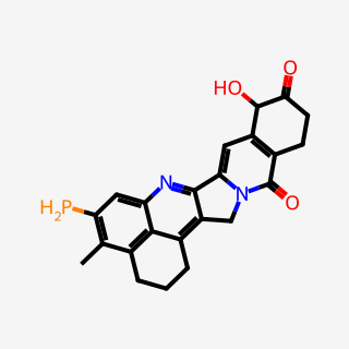 Cc1c(P)cc2nc3c(c4c2c1CCC4)Cn1c-3cc2c(c1=O)CCC(=O)C2O